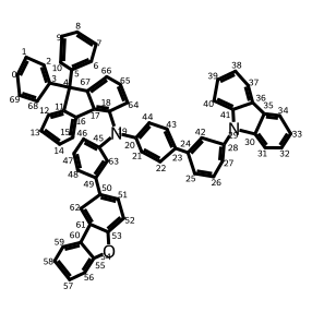 c1ccc(C2(c3ccccc3)c3ccccc3-c3c(N(c4ccc(-c5cccc(-n6c7ccccc7c7ccccc76)c5)cc4)c4cccc(-c5ccc6oc7ccccc7c6c5)c4)cccc32)cc1